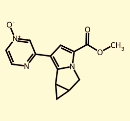 COC(=O)c1cc(-c2c[n+]([O-])ccn2)c2n1CC1CC21